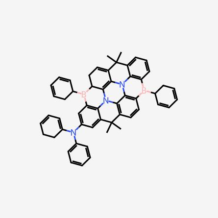 CC1(C)C2=CCC3B(C4C=CC=CC4)c4cc(N(C5=CC=CCC5)c5ccccc5)cc5c4N4C3=C2N2c3c(cccc31)B(C1C=CC=CC1)c1ccc(c4c12)C5(C)C